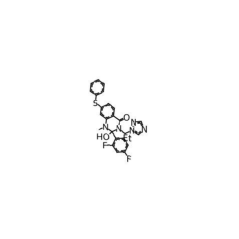 CCC(N1C(=O)c2ccc(Sc3ccccc3)cc2N(C)C1(O)c1ccc(F)cc1F)n1cncn1